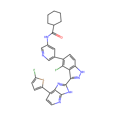 O=C(Nc1cncc(-c2ccc3[nH]nc(-c4nc5c(-c6ccc(F)s6)ccnc5[nH]4)c3c2F)c1)C1CCCCC1